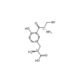 N[C@@H](Cc1ccc(O)c(C(=O)[C@@H](N)CS)c1)C(=O)O